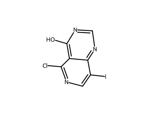 Oc1ncnc2c(I)cnc(Cl)c12